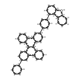 c1ccc(-c2ccc3c(c2)c2ccccc2c2c4ccc(-c5ccc(-c6cccc7oc8ccccc8c67)cc5)cc4c4ccccc4c32)cc1